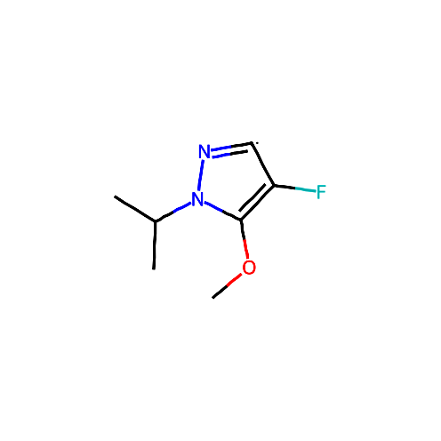 COc1c(F)[c]nn1C(C)C